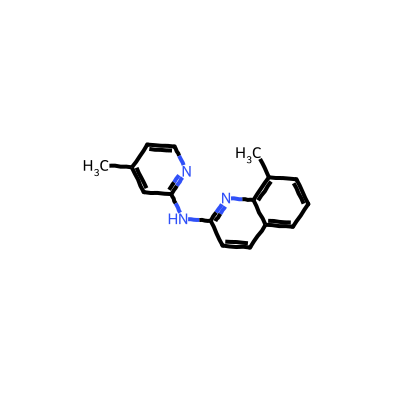 Cc1ccnc(Nc2ccc3cccc(C)c3n2)c1